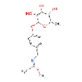 CO/C(C)=N\Cc1ccc(OC2OC(C)C(O)C(O)C2O)cc1